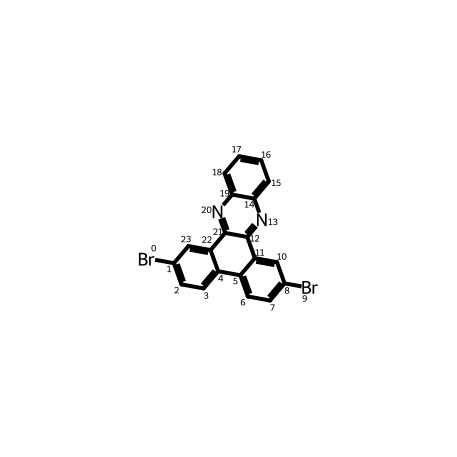 Brc1ccc2c3ccc(Br)cc3c3nc4ccccc4nc3c2c1